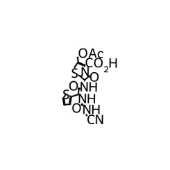 CC(=O)OCC1=C(C(=O)O)N2C(=O)[C@H](NC(=O)C(NC(=O)NCC#N)c3cccs3)C2SC1